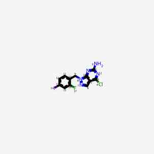 Nc1nc(Cl)c2cnn(Cc3ccc(I)cc3F)c2n1